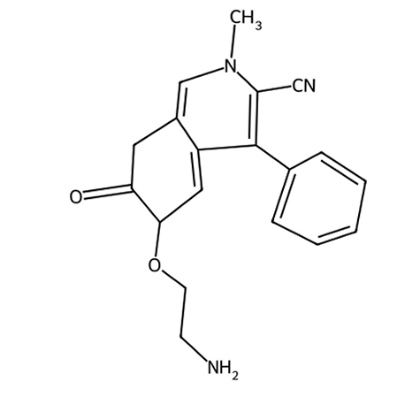 CN1C=C2CC(=O)C(OCCN)C=C2C(c2ccccc2)=C1C#N